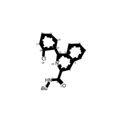 CCC(C)NC(=O)c1cc2ccccc2c(-c2ccccc2Cl)n1